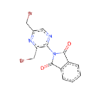 O=C1c2ccccc2C(=O)N1c1ncc(CBr)nc1CBr